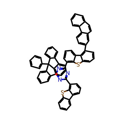 c1ccc(C2(c3ccccc3-c3nc(-c4cccc5c4sc4ccccc45)nc(-c4cccc5c4sc4cccc(-c6ccc7c(ccc8ccccc87)c6)c45)n3)c3ccccc3-c3ccccc32)cc1